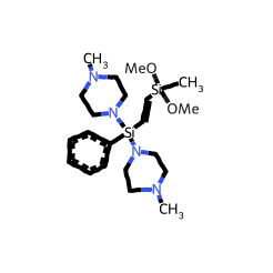 CO[Si](C)(C=C[Si](c1ccccc1)(N1CCN(C)CC1)N1CCN(C)CC1)OC